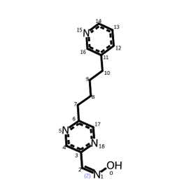 O/N=C\c1cnc(CCCCc2cccnc2)cn1